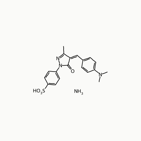 CC1=NN(c2ccc(S(=O)(=O)O)cc2)C(=O)C1=Cc1ccc(N(C)C)cc1.N